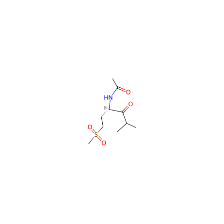 CC(=O)N[C@@H](CCS(C)(=O)=O)C(=O)C(C)C